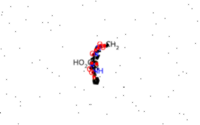 C=CCOC(=O)N1CC[C@@H](N2CCC(=CC3=C(C(=O)O)N4C(=O)[C@@H](NC(=O)CSc5ccccc5)[C@H]4SC3)C2=O)C1